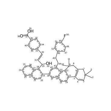 CC1(C)C=CC2=C(C1)CC(C)(C)c1c2ccc2cc(-c3ccc4ccccc4c3C(O)C=Cc3ccc(C(=O)O)cc3)cc(CCc3ccc(F)cc3)c12